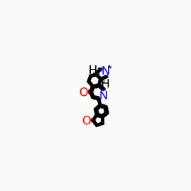 CN1C[C@H]2CCc3c(cnc(-c4ccc5c(c4)C(=O)CC5)cc3=O)[C@H]2C1